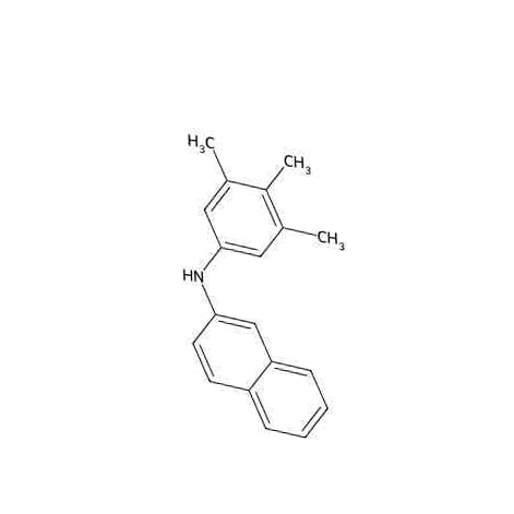 Cc1cc(Nc2ccc3ccccc3c2)cc(C)c1C